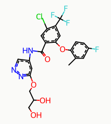 Cc1cc(F)ccc1Oc1cc(C(F)(F)F)c(Cl)cc1C(=O)Nc1cnnc(OCC(O)CO)c1